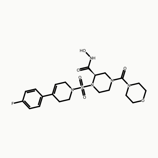 O=C(NO)[C@H]1CN(C(=O)N2CCOCC2)CCN1S(=O)(=O)N1CC=C(c2ccc(F)cc2)CC1